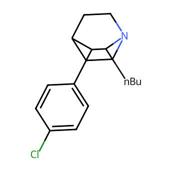 CCCCC1C(c2ccc(Cl)cc2)C2CCN1CC2